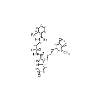 Cc1cc(OCCCc2c(C(=O)NS(=O)(=O)CCNC(=O)c3ccccc3C(F)(F)F)[nH]c3cc(Cl)ccc23)cc(C)c1Cl